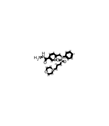 NNC(=O)c1ccc(CN(c2ccccc2)S(=O)(=O)CCCN2CCOCC2)nc1